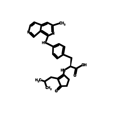 Cc1cc2ccncc2c(Nc2ccc(C[C@H](NC3=C(CC(C)C)C(=O)CC3)C(=O)O)cc2)n1